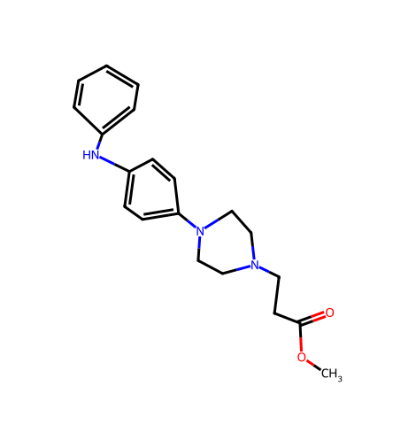 COC(=O)CCN1CCN(c2ccc(Nc3ccccc3)cc2)CC1